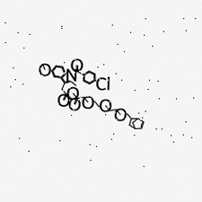 COc1ccc2c(c1)c(CC(=O)OC(=O)COCCOCCOCC1CC3C=CC1C3)c(C)n2C(=O)c1ccc(Cl)cc1